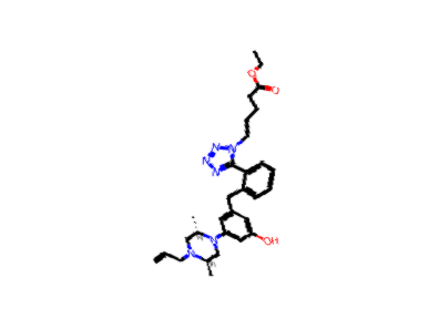 C=CCN1C[C@H](C)N(c2cc(O)cc(Cc3ccccc3-c3nnnn3CCCCC(=O)OCC)c2)C[C@H]1C